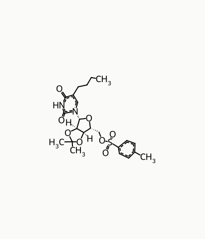 CCCCc1cn([C@@H]2O[C@H](COS(=O)(=O)c3ccc(C)cc3)[C@H]3OC(C)(C)O[C@H]32)c(=O)[nH]c1=O